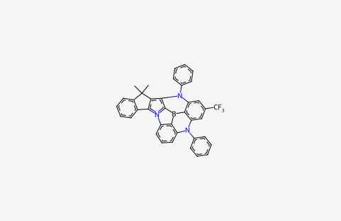 CC1(C)c2ccccc2-c2c1c1c3n2-c2cccc4c2B3c2c(cc(C(F)(F)F)cc2N1c1ccccc1)N4c1ccccc1